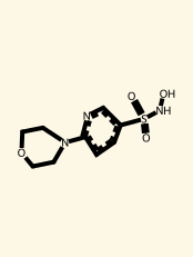 O=S(=O)(NO)c1ccc(N2CCOCC2)nc1